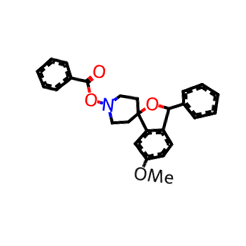 COc1ccc2c(c1)C1(CCN(OC(=O)c3ccccc3)CC1)OC2c1ccccc1